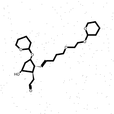 O=CC[C@@H]1[C@@H](C=CCCCOCCOC2CCCCO2)[C@H](OC2CCCCO2)C[C@@H]1O